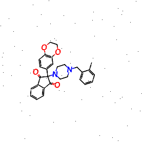 Cc1ccccc1CN1CCN(C2(c3ccc4c(c3)OCCO4)C(=O)c3ccccc3C2=O)CC1